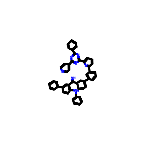 N=C(c1cc(-c2ccccc2)ccc1Nc1ccccc1)C1C=CC=C(c2cccc(-c3cccc(-c4nc(-c5ccccc5)nc(-c5ccncc5)n4)n3)c2)C1